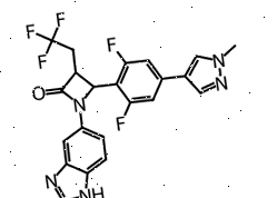 Cn1cc(-c2cc(F)c(C3C(CC(F)(F)F)C(=O)N3c3ccc4[nH]cnc4c3)c(F)c2)cn1